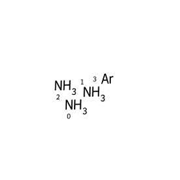 N.N.N.[Ar]